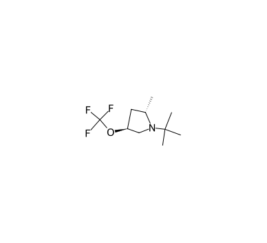 C[C@H]1C[C@H](OC(F)(F)F)CN1C(C)(C)C